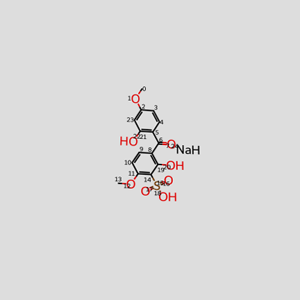 COc1ccc(C(=O)c2ccc(OC)c(S(=O)(=O)O)c2O)c(O)c1.[NaH]